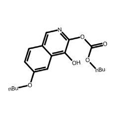 CCCCOC(=O)Oc1ncc2ccc(OCCCC)cc2c1O